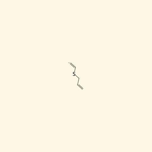 [CH]=CSCC=C